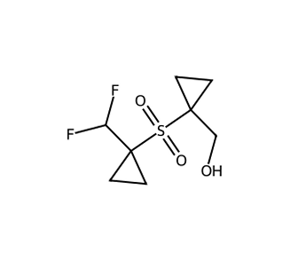 O=S(=O)(C1(CO)CC1)C1(C(F)F)CC1